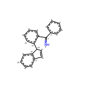 N=C(c1ccccc1)c1ccccc1C1C=Cc2ccccc21